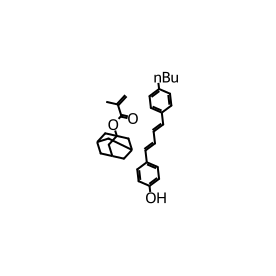 C=C(C)C(=O)OC12CC3CC(CC(C3)C1)C2.CCCCc1ccc(C=CC=Cc2ccc(O)cc2)cc1